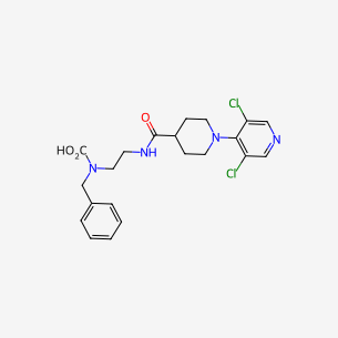 O=C(NCCN(Cc1ccccc1)C(=O)O)C1CCN(c2c(Cl)cncc2Cl)CC1